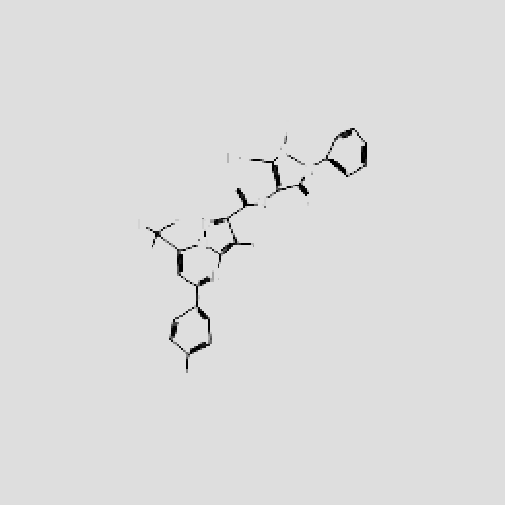 Cc1c(NC(=O)c2nn3c(C(F)(F)F)cc(-c4ccc(Cl)cc4)nc3c2Cl)c(=O)n(-c2ccccc2)n1C